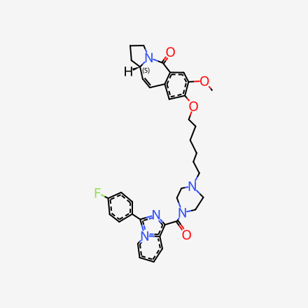 COc1cc2c(cc1OCCCCCCN1CCN(C(=O)c3nc(-c4ccc(F)cc4)n4ccccc34)CC1)C=C[C@@H]1CCCN1C2=O